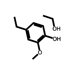 CCO.CCc1ccc(O)c(OC)c1